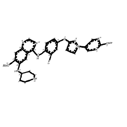 COc1ncc(-n2ccc(Oc3ccc(Nc4ncnc5cc(OC)c(NC6CCNCC6)cc45)c(F)c3)n2)cn1